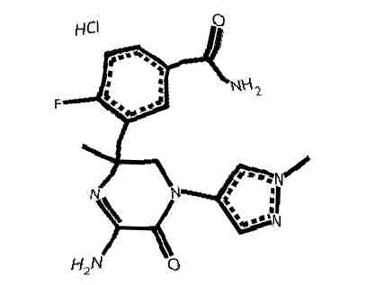 Cl.Cn1cc(N2CC(C)(c3cc(C(N)=O)ccc3F)N=C(N)C2=O)cn1